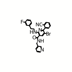 N#Cc1ccccc1-c1nc(NCCc2cccc(F)c2)c(C(=O)NCc2cccnc2)cc1Br